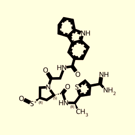 C[C@@H](NC(=O)[C@@H]1C[C@@H]([S+]=O)CN1C(=O)CNC(=O)c1ccc2[nH]c3ccccc3c2c1)c1cc(C(=N)N)cs1